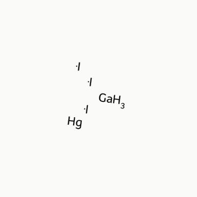 [GaH3].[Hg].[I].[I].[I]